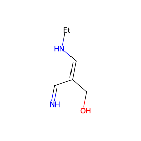 CCN/C=C(\C=N)CO